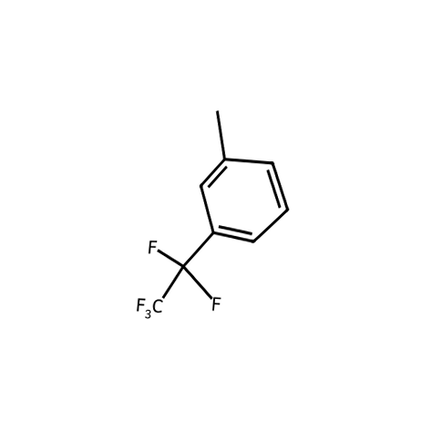 Cc1cccc(C(F)(F)C(F)(F)F)c1